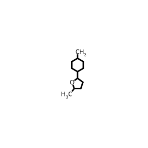 CC1CCC(C2CCC(C)O2)CC1